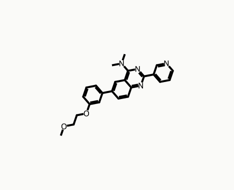 COCCOc1cccc(-c2ccc3nc(-c4cccnc4)nc(N(C)C)c3c2)c1